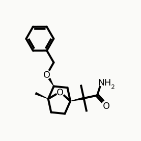 CC(C)(C(N)=O)[C@@]12CC[C@@](C)(O1)[C@@H](OCc1ccccc1)C2